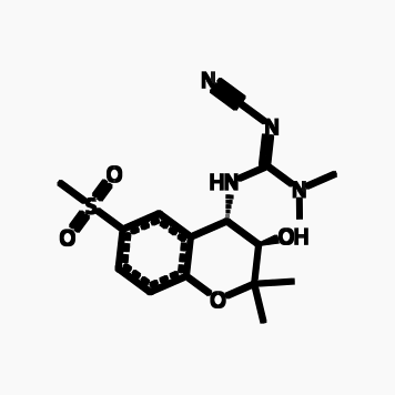 CN(C)/C(=N/C#N)N[C@H]1c2cc(S(C)(=O)=O)ccc2OC(C)(C)[C@@H]1O